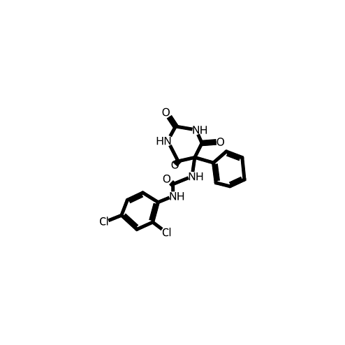 O=C1NC(=O)C(NC(=O)Nc2ccc(Cl)cc2Cl)(c2ccccc2)C(=O)N1